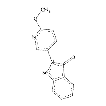 COc1ccc(-n2[se]c3ccccc3c2=O)cn1